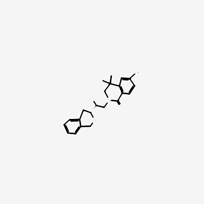 CC1(C)CN(CC(O)[C@@H]2Cc3ccccc3CN2)C(=O)c2ccc(Br)cc21